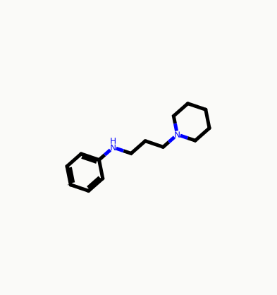 [c]1ccc(NCCCN2CCCCC2)cc1